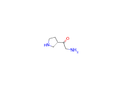 NCC(=O)C1CCNC1